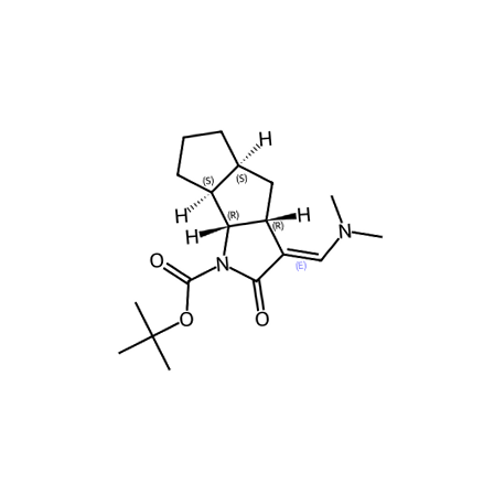 CN(C)/C=C1/C(=O)N(C(=O)OC(C)(C)C)[C@@H]2[C@H]3CCC[C@H]3C[C@H]12